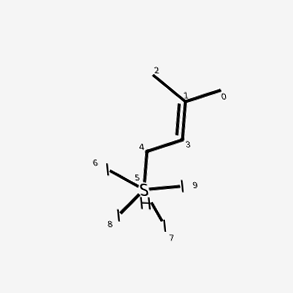 CC(C)=CC[SH](I)(I)(I)I